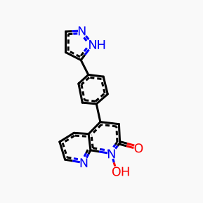 O=c1cc(-c2ccc(-c3ccn[nH]3)cc2)c2cccnc2n1O